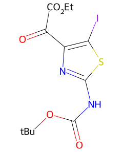 CCOC(=O)C(=O)c1nc(NC(=O)OC(C)(C)C)sc1I